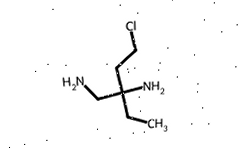 CCC(N)(CN)CCCl